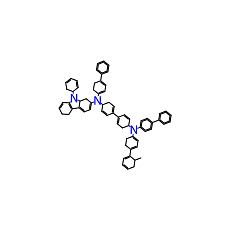 CC1CC=CC=C1C1=CC=C(N(c2ccc(-c3ccccc3)cc2)C2C=CC(C3=CCC(N(C4=CC=C(c5ccccc5)CC4)C4=CC=C5C6=C(C=CCC6)N(C6C=CC=CC6)C5C4)C=C3)=CC2)CC1